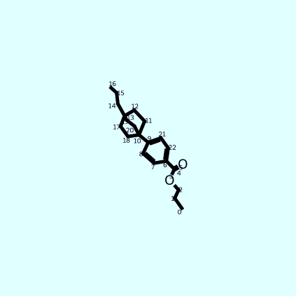 CCCOC(=O)c1ccc(C23CCC(CCC)(CC2)CC3)cc1